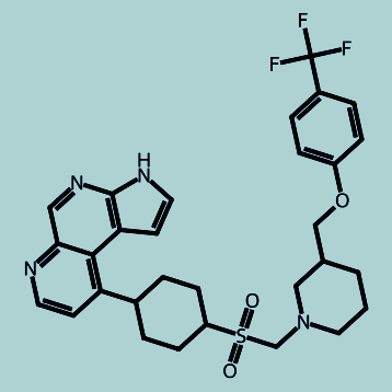 O=S(=O)(CN1CCCC(COc2ccc(C(F)(F)F)cc2)C1)C1CCC(c2ccnc3cnc4[nH]ccc4c23)CC1